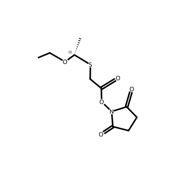 CCO[C@H](C)SCC(=O)ON1C(=O)CCC1=O